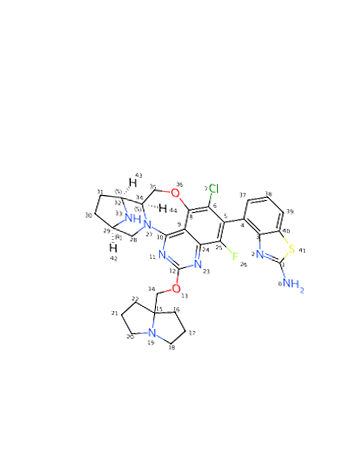 Nc1nc2c(-c3c(Cl)c4c5c(nc(OCC67CCCN6CCC7)nc5c3F)N3C[C@H]5CC[C@H](N5)[C@H]3CO4)cccc2s1